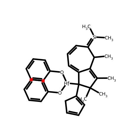 CC1=C2C(=CC=CC(=[Si](C)C)C2C)[C](C2=CC=CC2)([Hf]([O]c2ccccc2)[O]c2ccccc2)C1(C)C